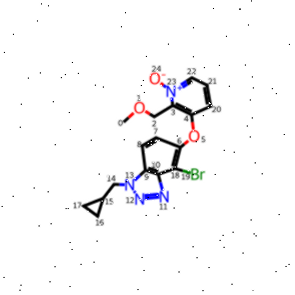 COCc1c(Oc2ccc3c(nnn3CC3CC3)c2Br)ccc[n+]1[O-]